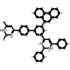 CC1=CC(c2ccc(-c3cc(C4=NC(c5ccccc5)NC(c5ccccc5)=C4)cc(-c4cc5ccccc5c5ccccc45)c3)cc2)=NC(C)N1